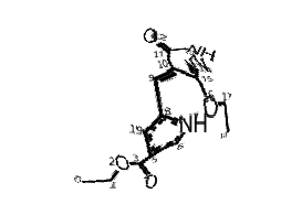 CCOC(=O)c1c[nH]c(/C=C2/C(=O)NN=C2OCC)c1